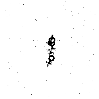 CC12CC3CC(C)(C1)CC(C(=O)Nc1nc4cc(C(F)(F)F)ccc4s1)(C3)C2